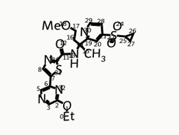 CCOc1cncc(-c2cnc(C(=O)NC(C)(CCOC)c3cc(S(=O)(=O)C4CC4)ccn3)s2)n1